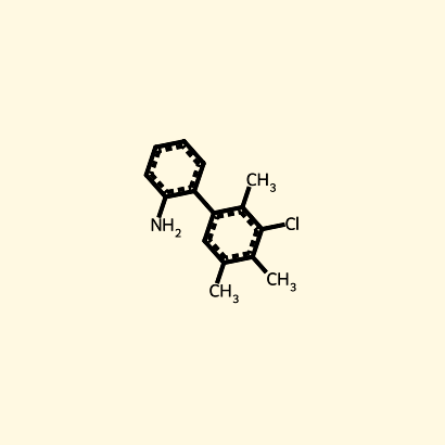 Cc1cc(-c2ccccc2N)c(C)c(Cl)c1C